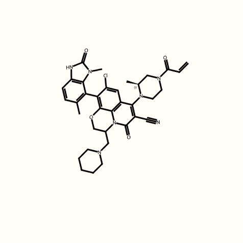 C=CC(=O)N1CCN(c2c(C#N)c(=O)n3c4c(c(-c5c(C)ccc6[nH]c(=O)n(C)c56)c(Cl)cc24)OCC3CN2CCCCC2)[C@@H](C)C1